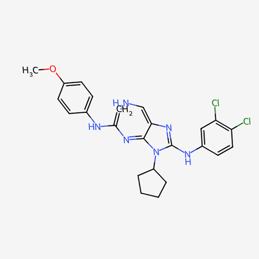 C=C(/N=C1\C(=C/N)N=C(Nc2ccc(Cl)c(Cl)c2)N1C1CCCC1)Nc1ccc(OC)cc1